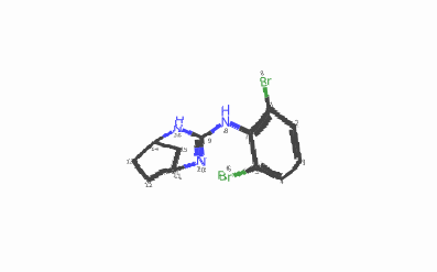 Brc1cccc(Br)c1NC1=NC2CCC(C2)N1